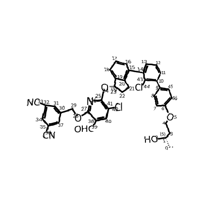 [CH2][C@H](O)CCOc1ccc(-c2cccc(-c3cccc4c3CC[C@@H]4Oc3nc(OCc4cc(C#N)cc(C#N)c4)c(C=O)cc3Cl)c2Cl)cc1